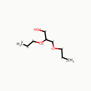 CCCOCC(CO)OCCC